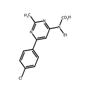 CCN(C(=O)O)c1cc(-c2ccc(Cl)cc2)nc(C)n1